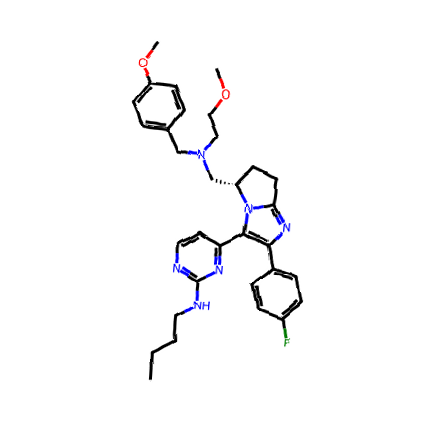 CCCCNc1nccc(-c2c(-c3ccc(F)cc3)nc3n2[C@H](CN(CCOC)Cc2ccc(OC)cc2)CC3)n1